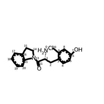 N[C@H](Cc1ccc(O)cc1Cl)C(=O)N1CCc2ccccc21